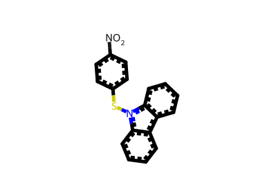 O=[N+]([O-])c1ccc(Sn2c3ccccc3c3ccccc32)cc1